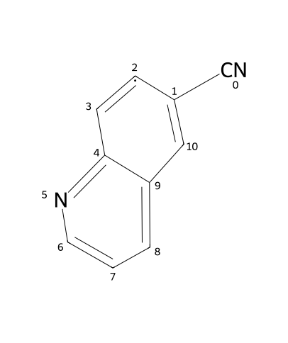 N#Cc1[c]cc2ncccc2c1